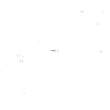 CC1C=CC(C(=O)N(c2cc(C#CC(C)(C)C)sc2C(=O)O)[C@H]2CC[C@H](NN(C)C(=O)Oc3ccccn3)CC2)CC1